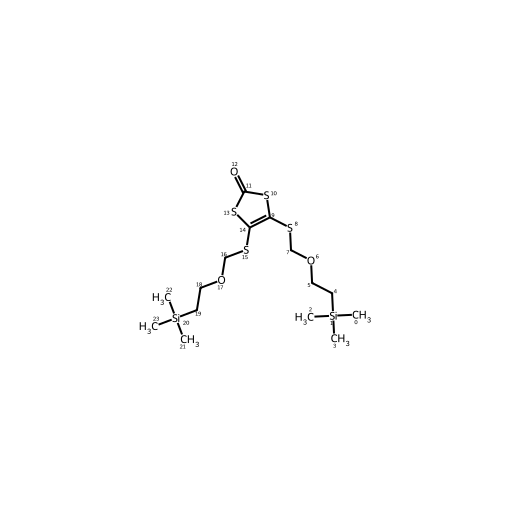 C[Si](C)(C)CCOCSc1sc(=O)sc1SCOCC[Si](C)(C)C